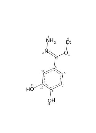 CCO/C(=N\N)c1ccc(O)c(O)c1